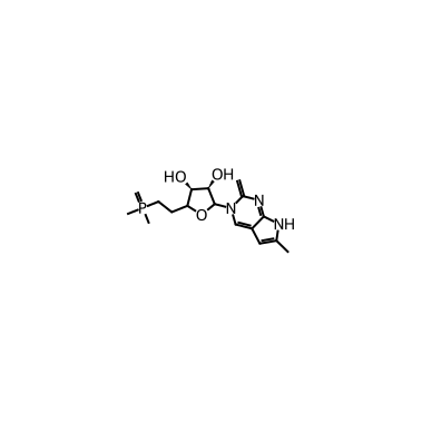 C=C1N=c2[nH]c(C)cc2=CN1C1OC(CCP(=C)(C)C)[C@@H](O)[C@H]1O